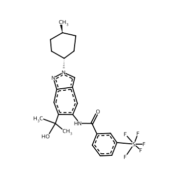 CC(C)(O)c1cc2nn([C@H]3CC[C@H](C)CC3)cc2cc1NC(=O)c1cccc(S(F)(F)(F)(F)F)c1